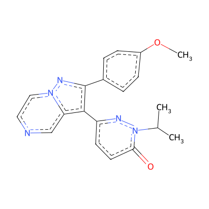 COc1ccc(-c2nn3ccncc3c2-c2ccc(=O)n(C(C)C)n2)cc1